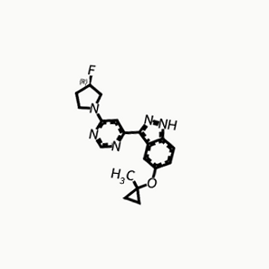 CC1(Oc2ccc3[nH]nc(-c4cc(N5CC[C@@H](F)C5)ncn4)c3c2)CC1